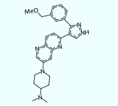 COCc1cccc(-c2n[nH]cc2-c2ccc3ncc(N4CCC(N(C)C)CC4)cc3n2)c1